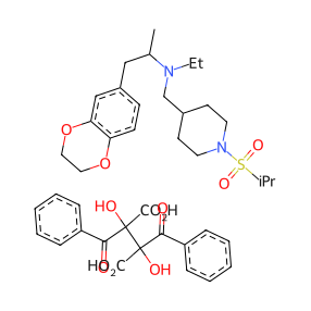 CCN(CC1CCN(S(=O)(=O)C(C)C)CC1)C(C)Cc1ccc2c(c1)OCCO2.O=C(O)C(O)(C(=O)c1ccccc1)C(O)(C(=O)O)C(=O)c1ccccc1